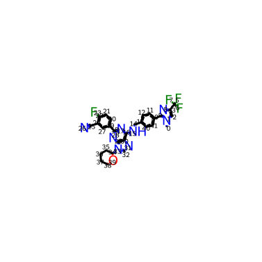 Cn1cc(C(F)(F)F)nc1-c1ccc(CNc2nc(-c3ccc(F)c(C#N)c3)nc3c2ncn3C2CCCCO2)cc1